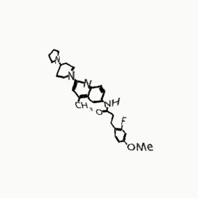 COc1ccc(CCC(=O)Nc2ccc3nc(N4CCC(N5CCCC5)CC4)cc(C)c3c2)c(F)c1